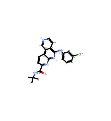 CC(C)(C)NC(=O)c1ccc2c(n1)nc(Nc1cccc(Cl)c1)c1ccncc12